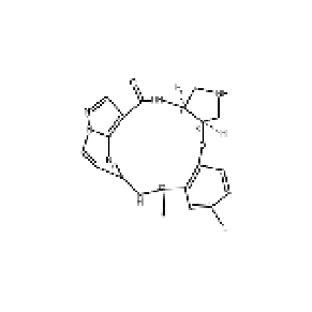 C[C@H]1Nc2ccn3ncc(c3n2)C(=O)N[C@H]2CNC[C@H]2Oc2ccc(F)cc21